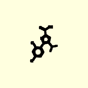 CC(C)c1cc(C(=O)O)nn1-c1ccc(Cl)cc1Cl